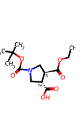 CCOC(=O)[C@@H]1CN(C(=O)OC(C)(C)C)C[C@H]1C(=O)O